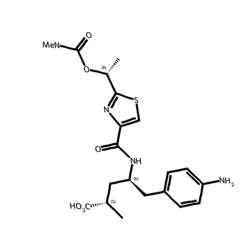 CNC(=O)O[C@H](C)c1nc(C(=O)N[C@@H](Cc2ccc(N)cc2)C[C@H](C)C(=O)O)cs1